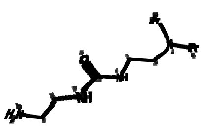 CC(C)N(CCNC(=O)NCCN)C(C)C